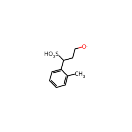 Cc1ccccc1C(CC[O])S(=O)(=O)O